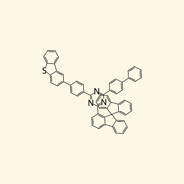 c1ccc(-c2ccc(-c3nc(-c4ccc(-c5ccc6sc7ccccc7c6c5)cc4)nc(-c4cccc5c4C4(c6ccccc6-c6ccccc64)c4ccccc4-5)n3)cc2)cc1